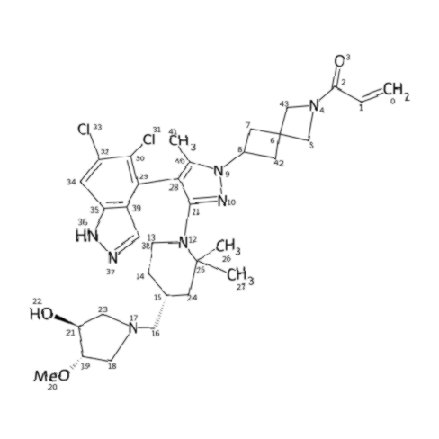 C=CC(=O)N1CC2(CC(n3nc(N4CC[C@@H](CN5C[C@H](OC)[C@@H](O)C5)CC4(C)C)c(-c4c(Cl)c(Cl)cc5[nH]ncc45)c3C)C2)C1